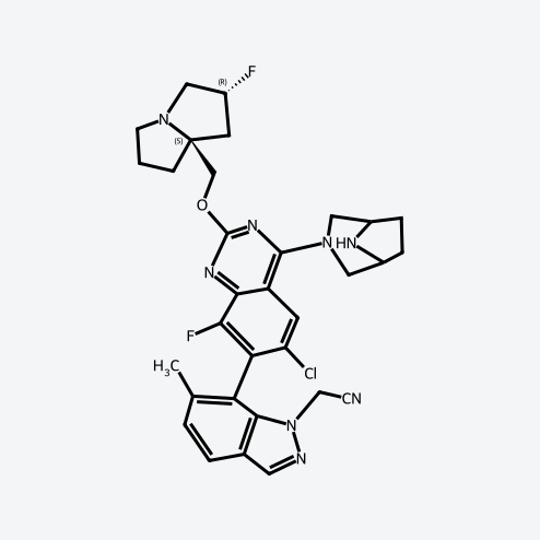 Cc1ccc2cnn(CC#N)c2c1-c1c(Cl)cc2c(N3CC4CCC(C3)N4)nc(OC[C@@]34CCCN3C[C@H](F)C4)nc2c1F